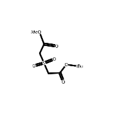 COC(=O)CS(=O)(=O)CC(=O)OC(C)(C)C